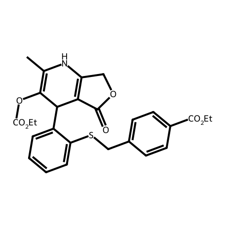 CCOC(=O)OC1=C(C)NC2=C(C(=O)OC2)C1c1ccccc1SCc1ccc(C(=O)OCC)cc1